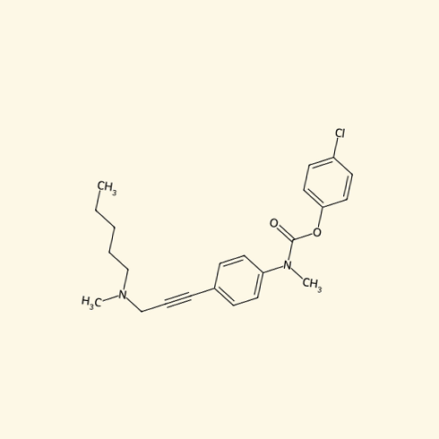 CCCCCN(C)CC#Cc1ccc(N(C)C(=O)Oc2ccc(Cl)cc2)cc1